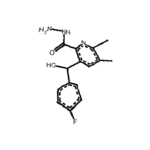 Cc1cc(C(O)c2ccc(F)cc2)c(C(=O)NN)nc1C